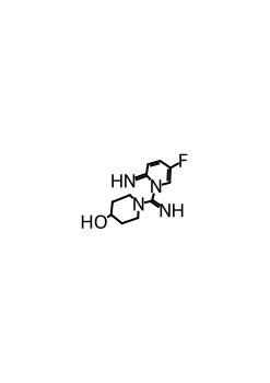 N=C(N1CCC(O)CC1)n1cc(F)ccc1=N